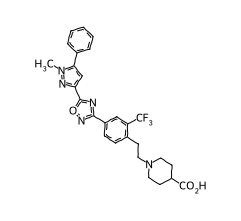 Cn1nc(-c2nc(-c3ccc(CCN4CCC(C(=O)O)CC4)c(C(F)(F)F)c3)no2)cc1-c1ccccc1